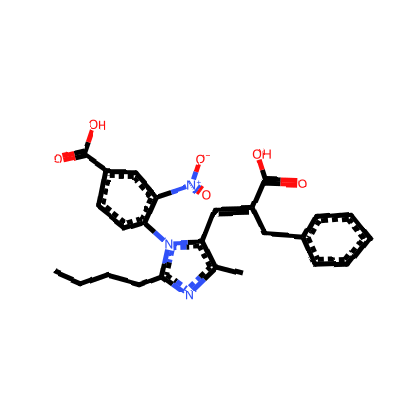 CCCCc1nc(C)c(C=C(Cc2ccccc2)C(=O)O)n1-c1ccc(C(=O)O)cc1[N+](=O)[O-]